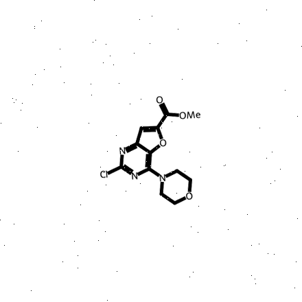 COC(=O)c1cc2nc(Cl)nc(N3CCOCC3)c2o1